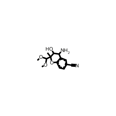 COC(OC)C1(C)Oc2ccc(C#N)cc2C(N)C1O